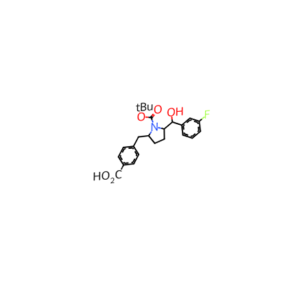 CC(C)(C)OC(=O)N1C(Cc2ccc(C(=O)O)cc2)CCC1C(O)c1cccc(F)c1